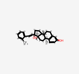 C[C@]12CC[C@@H]3c4ccc(O)cc4CC[C@H]3[C@@H]1CC[C@]2(O)C=Cc1ccccc1C(F)(F)F